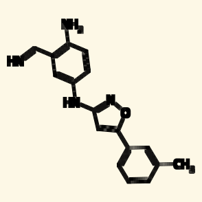 Cc1cccc(-c2cc(Nc3ccc(N)c(C=N)c3)no2)c1